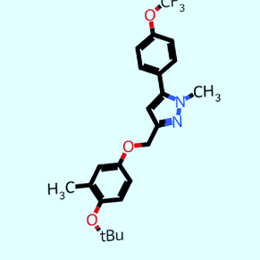 Cc1cc(OCc2cc(-c3ccc(OC(F)(F)F)cc3)n(C)n2)ccc1OC(C)(C)C